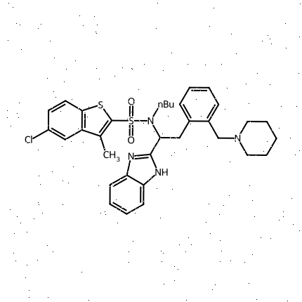 CCCCN(C(Cc1ccccc1CN1CCCCC1)c1nc2ccccc2[nH]1)S(=O)(=O)c1sc2ccc(Cl)cc2c1C